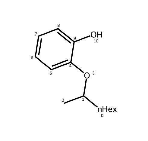 CCCCCCC(C)Oc1ccccc1O